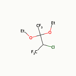 CCOC(OCC)(C(Cl)C(F)(F)F)C(F)(F)F